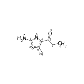 CCC(=O)c1nc(N)sc1I